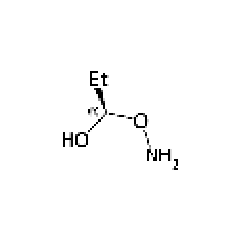 CC[C@H](O)ON